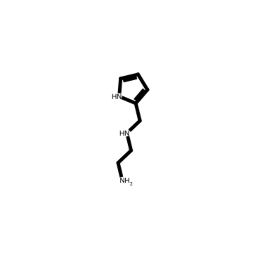 NCCNCc1ccc[nH]1